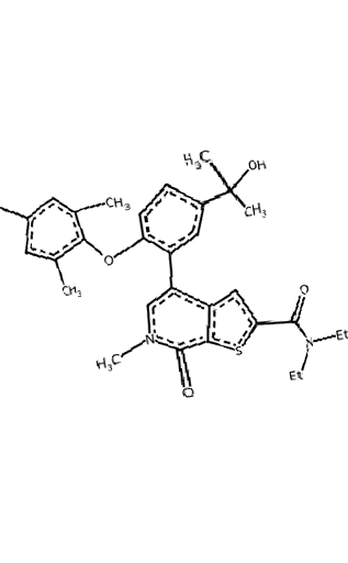 CCN(CC)C(=O)c1cc2c(-c3cc(C(C)(C)O)ccc3Oc3c(C)cc(F)cc3C)cn(C)c(=O)c2s1